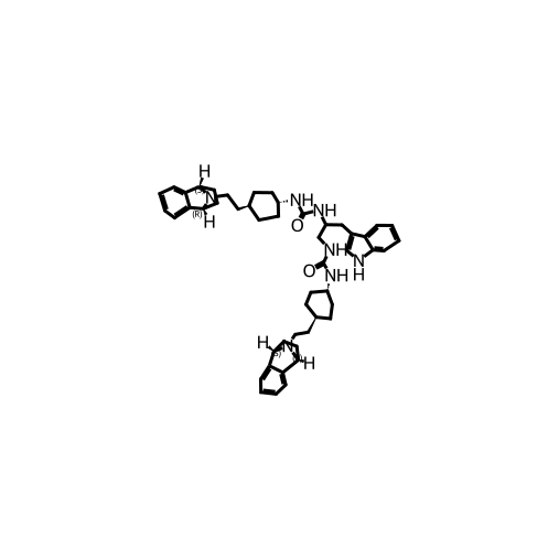 O=C(NCC(Cc1c[nH]c2ccccc12)NC(=O)N[C@H]1CC[C@H](CCN2[C@@H]3CC[C@H]2c2ccccc23)CC1)N[C@H]1CC[C@H](CCN2[C@@H]3CC[C@H]2c2ccccc23)CC1